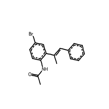 CC(=O)Nc1ccc(Br)cc1C(C)=Cc1ccccc1